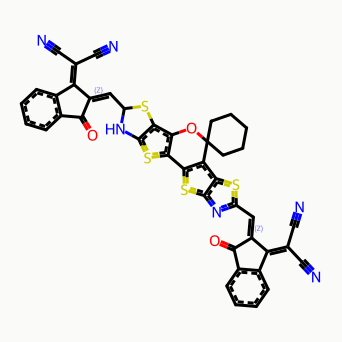 N#CC(C#N)=C1/C(=C/c2nc3sc4c(c3s2)C2(CCCCC2)Oc2c-4sc3c2SC(/C=C2\C(=O)c4ccccc4C2=C(C#N)C#N)N3)C(=O)c2ccccc21